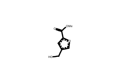 COC(=O)c1cc(CO)co1